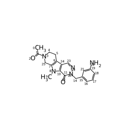 CC(=O)N1CCc2c(n(C)c3c(=O)n(Cc4cccc(N)c4)ncc23)C1